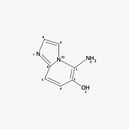 Nc1c(O)ccc2nccn12